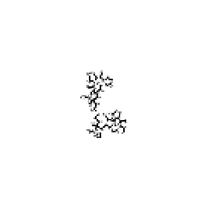 CC[Si](CC)(CC)N(CCCC(C)(CCSCCC(C)(CCCN([Si](CC)(CC)CC)[Si](CC)(CC)CC)[SiH](Cl)Cl)[SiH](Cl)Cl)[Si](CC)(CC)CC